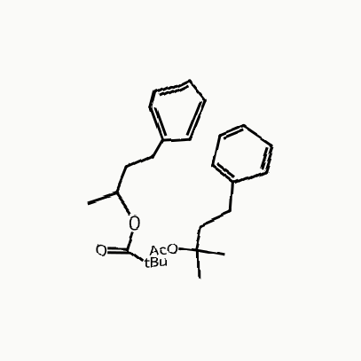 CC(=O)OC(C)(C)CCc1ccccc1.CC(CCc1ccccc1)OC(=O)C(C)(C)C